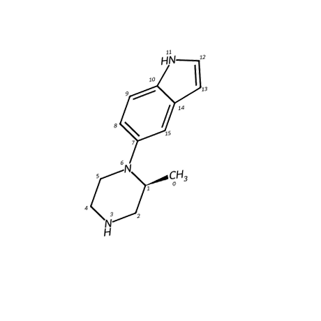 C[C@H]1CNCCN1c1ccc2[nH]ccc2c1